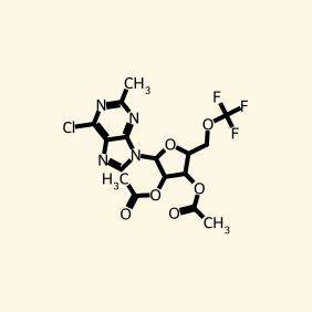 CC(=O)OC1C(COC(F)(F)F)OC(n2cnc3c(Cl)nc(C)nc32)C1OC(C)=O